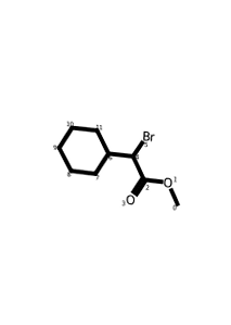 COC(=O)C(Br)C1CCCCC1